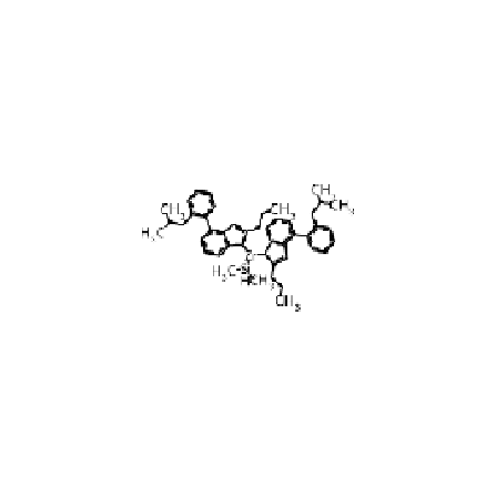 CCCC1=Cc2c(-c3ccccc3CC(C)C)cccc2[CH]1[Zr]([CH]1C(CCC)=Cc2c(-c3ccccc3CC(C)C)cccc21)[SiH](C)C